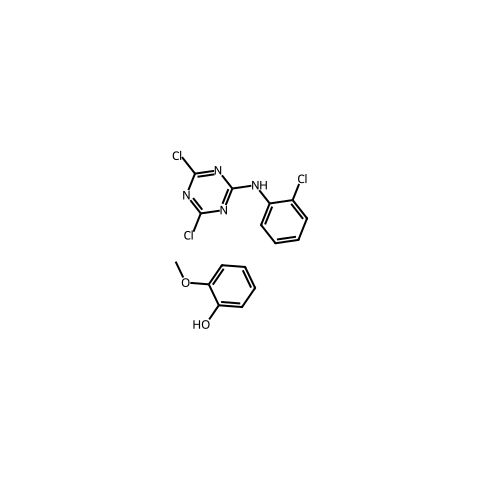 COc1ccccc1O.Clc1nc(Cl)nc(Nc2ccccc2Cl)n1